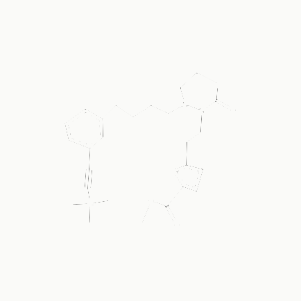 COC(=O)c1ccc(CCN2C(=O)SCCN2CCCCc2cccc(C#C[Si](C)(C)C)c2)s1